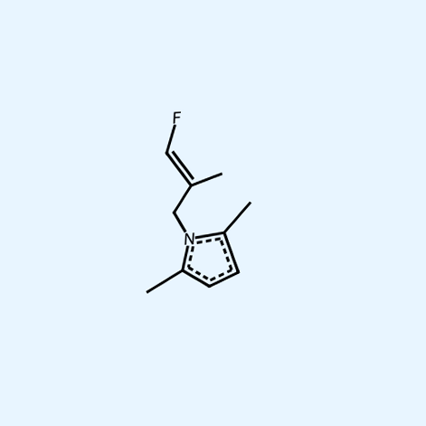 C/C(=C\F)Cn1c(C)ccc1C